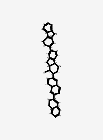 IC1C(C2=CC3C=CC(C4=Cc5ccccc5CC4)=CC3C=C2)CCC2c3ccc(C4=CC5=C(CC4)c4ccccc4C5)cc3CC21